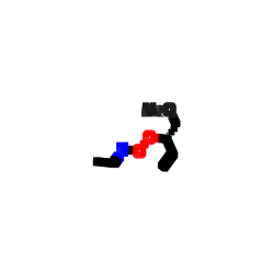 C=C[C@@H](COC)OON=CC